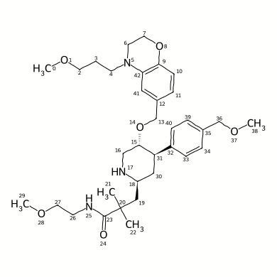 COCCCN1CCOc2ccc(CO[C@H]3CN[C@H](CC(C)(C)C(=O)NCCOC)C[C@@H]3c3ccc(COC)cc3)cc21